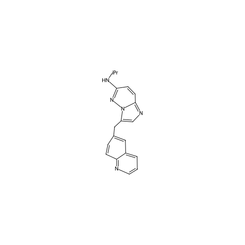 CC(C)Nc1ccc2ncc(Cc3ccc4ncccc4c3)n2n1